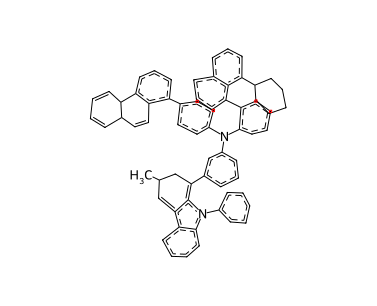 CC1C=c2c(n(-c3ccccc3)c3ccccc23)=C(c2cccc(N(c3ccc(-c4cccc5c4C=CC4C=CC=CC54)cc3)c3ccccc3-c3cccc4cccc(C5CCCCC5)c34)c2)C1